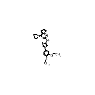 CCOc1ccc(-n2cnc(Nc3nc(N4CCCC4)c4cccn4n3)c2)cc1OCC